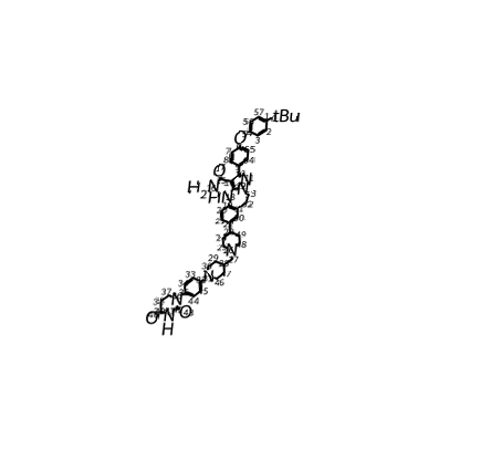 CC(C)(C)c1ccc(Oc2ccc(-c3nn4c(c3C(N)=O)Nc3ccc(C5CCN(CC6CCN(c7ccc(N8CCC(=O)NC8=O)cc7)CC6)CC5)cc3CC4)cc2)cc1